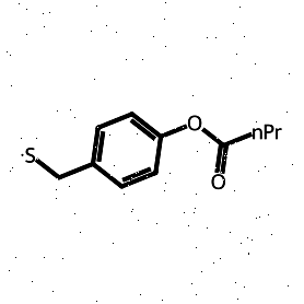 CCCC(=O)Oc1ccc(C[S])cc1